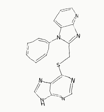 c1ccc(-n2c(CSc3ncnc4[nH]cnc34)nc3ncccc32)cc1